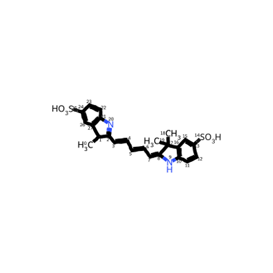 CC1C(/C=C/C=C/C=C2/Nc3ccc(S(=O)(=O)O)cc3C2(C)C)=Nc2ccc(S(=O)(=O)O)cc21